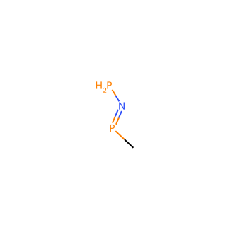 CP=NP